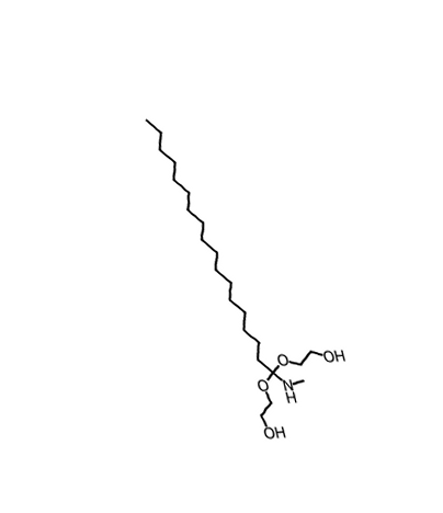 CCCCCCCCCCCCCCCCCC(NC)(OCCO)OCCO